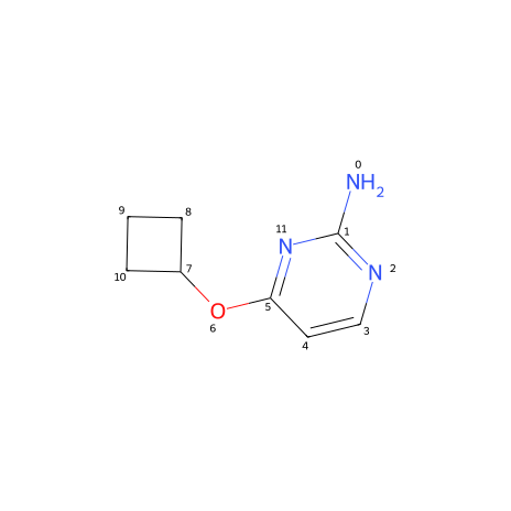 Nc1nccc(OC2CCC2)n1